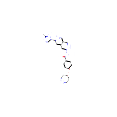 Cc1ncc(-c2cc3cc(NC(=O)c4ccc(OC5CCNCC5)cc4)ncc3cn2)n1C